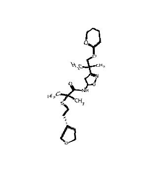 CC(C)(COC1CCCCO1)C1=NOC(NC(=O)C(C)(C)SCC[C@@H]2CCOC2)C1